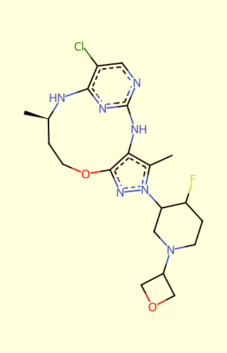 Cc1c2c(nn1C1CN(C3COC3)CCC1F)OCC[C@@H](C)Nc1nc(ncc1Cl)N2